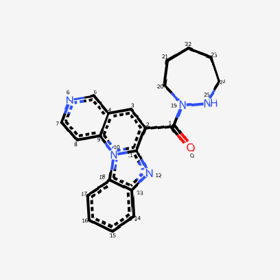 O=C(c1cc2cnccc2n2c1nc1ccccc12)N1CCCCCN1